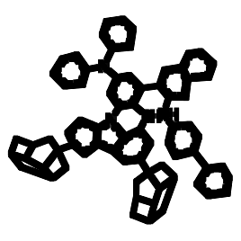 B1c2c(-c3cc4ccccc4cc3Nc3ccc(-c4ccccc4)cc3)cc(N(c3ccccc3)c3ccccc3)cc2-n2c3ccc(C45CC6CC7CC(C4)C5C76)cc3c3cc(C45CC6CC7CC(C4)C5C76)cc1c32